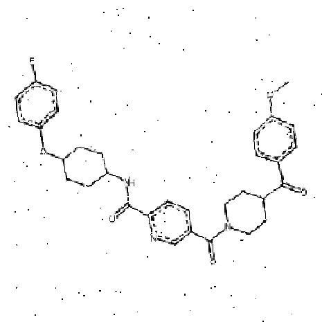 COc1ccc(C(=O)C2CCN(C(=O)c3ccc(C(=O)NC4CCC(Oc5ccc(F)cc5)CC4)nc3)CC2)cc1